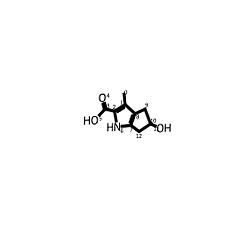 Cc1c(C(=O)O)[nH]c2c1CC(O)C2